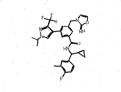 Cc1cc(C(NC(=O)c2cc(Cn3ccoc3=N)cc(-c3cn(C(C)C)nc3C(F)(F)F)c2)C2CC2)ccc1F